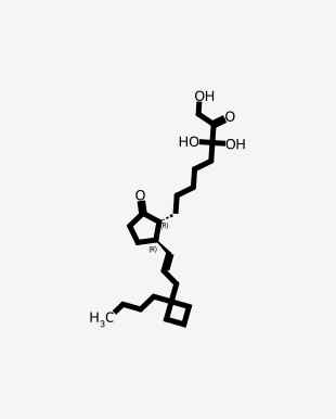 CCCCC1(CC=C[C@H]2CCC(=O)[C@@H]2CCCCCC(O)(O)C(=O)CO)CCC1